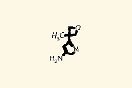 CC1(C2=NCC(N)=C2)COC1